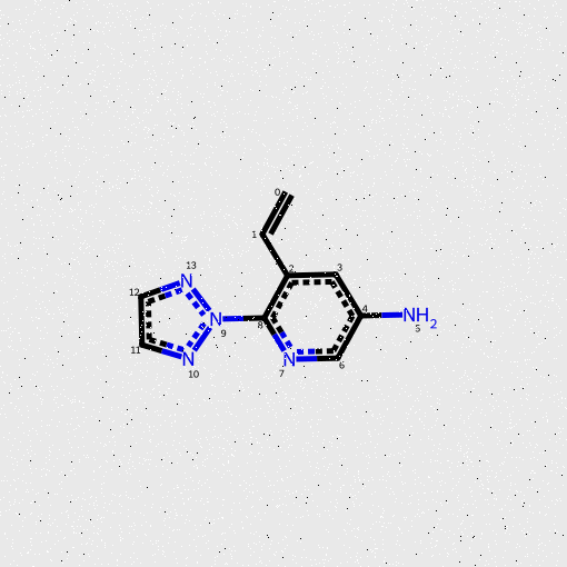 C=Cc1cc(N)cnc1-n1nccn1